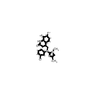 Cc1cn(C)c(N(Cc2cc(=O)[nH]c3c(F)c(F)ccc23)c2cccc(Cl)c2)n1